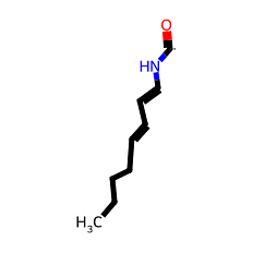 CCCC/C=C/C=C/N[C]=O